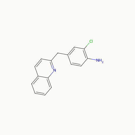 Nc1ccc(Cc2ccc3ccccc3n2)cc1Cl